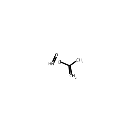 C=C(C)Cl.N=O